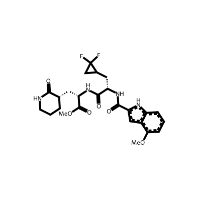 COC(=O)[C@H](C[C@@H]1CCCNC1=O)NC(=O)[C@H](CC1CC1(F)F)NC(=O)c1cc2c(OC)cccc2[nH]1